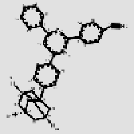 N#Cc1ccc(-c2nc(-c3ccccc3)cc(-c3ccc(C45C[C@H]6C[C@@H](C4)C[C@@H](C5)C6)cc3)n2)cc1